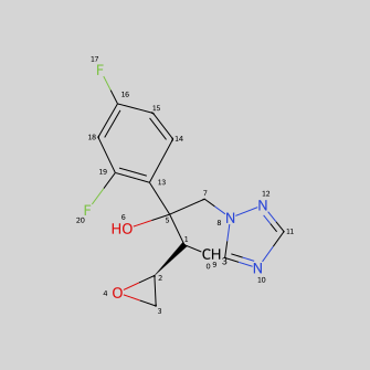 CC([C@H]1CO1)C(O)(Cn1cncn1)c1ccc(F)cc1F